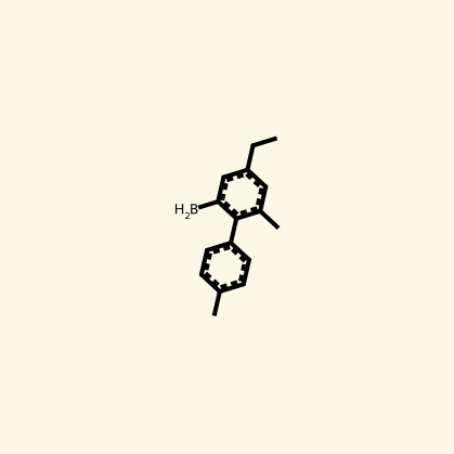 Bc1cc(CC)cc(C)c1-c1ccc(C)cc1